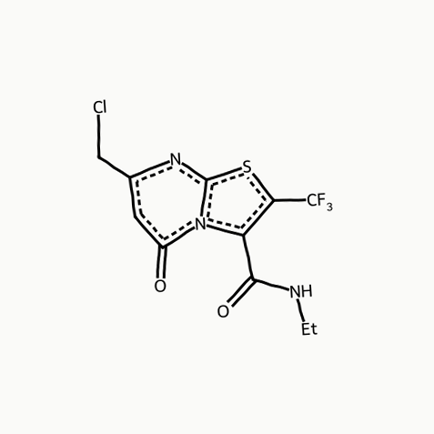 CCNC(=O)c1c(C(F)(F)F)sc2nc(CCl)cc(=O)n12